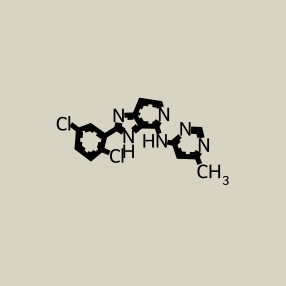 Cc1cc(Nc2nccc3nc(-c4cc(Cl)ccc4Cl)[nH]c23)ncn1